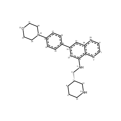 c1cnc2c(NC[C@H]3CCCNC3)nc(-c3ccc(N4CCOCC4)cc3)cc2n1